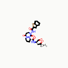 CC(=O)C[C@@H](C=O)NC(=O)[C@@H]1CCCN2C(=O)CCN(NC(=O)c3cc4ccccc4s3)C(=O)N12